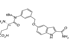 CC(C)(C)N(C(=O)[C@@H](N)CCC(=O)O)c1cccc(COc2ccc3[nH]c(C(N)=O)cc3c2)c1